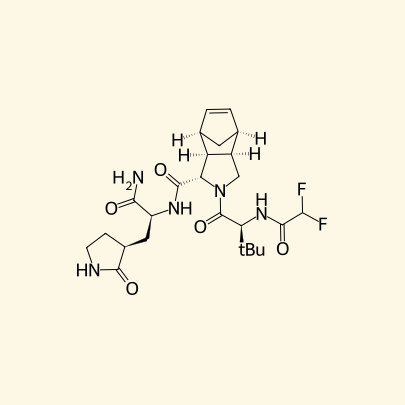 CC(C)(C)[C@H](NC(=O)C(F)F)C(=O)N1C[C@H]2[C@@H]([C@H]1C(=O)N[C@@H](C[C@@H]1CCNC1=O)C(N)=O)[C@H]1C=C[C@@H]2C1